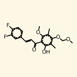 COCOc1c(C)c(O)c(C(=O)C=Cc2ccc(F)c(F)c2)c(OC)c1C